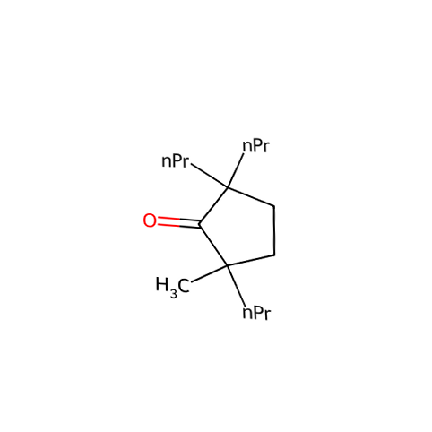 CCCC1(C)CCC(CCC)(CCC)C1=O